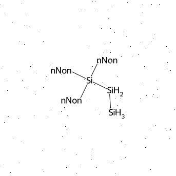 CCCCCCCCC[Si](CCCCCCCCC)(CCCCCCCCC)[SiH2][SiH3]